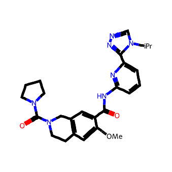 COc1cc2c(cc1C(=O)Nc1cccc(-c3nncn3C(C)C)n1)CN(C(=O)N1CCCC1)CC2